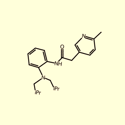 Cc1ccc(CC(=O)Nc2ccccc2N(CC(C)C)CC(C)C)cn1